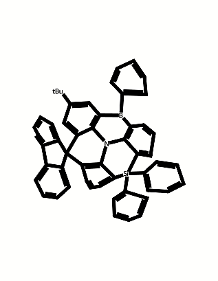 CC(C)(C)c1cc2c3c(c1)C1(c4ccccc4-c4ccccc41)c1cccc4c1N3c1c(cccc1[Si]4(c1ccccc1)c1ccccc1)B2c1ccccc1